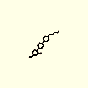 C=Cc1ccc(-c2ccc(C3CCC(CCCCC)CC3)cc2)c(F)c1